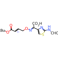 CC(C)(C)OC(=O)/C=C/CON=C(C(=O)O)c1csc(NC=O)n1